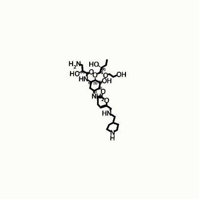 CC[C@@H](O)[C@H](OCCO)O[C@@H]1[C@@H](O)[C@H](O[C@@H]2CCC=C(CNCC3CCNCC3)O2)[C@@H](N)C[C@H]1NC(=O)[C@H](O)CN